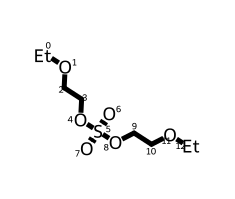 CCOCCOS(=O)(=O)OCCOCC